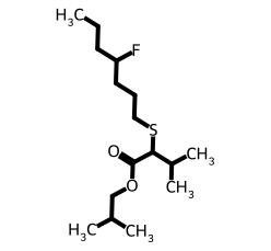 CCCC(F)CCCSC(C(=O)OCC(C)C)C(C)C